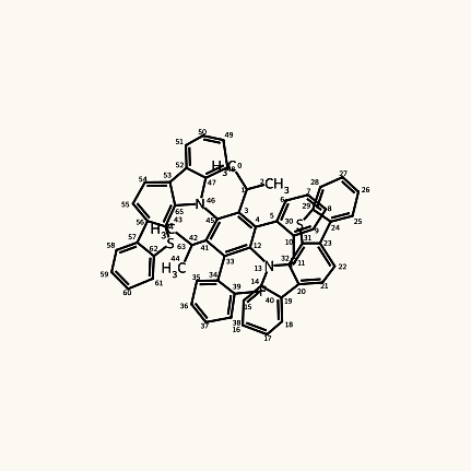 CC(C)c1c(-c2ccccc2F)c(-n2c3ccccc3c3ccc4c5ccccc5sc4c32)c(-c2ccccc2F)c(C(C)C)c1-n1c2ccccc2c2ccc3c4ccccc4sc3c21